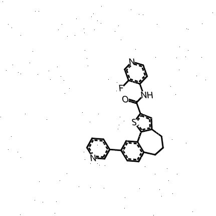 O=C(Nc1ccncc1F)c1cc2c(s1)-c1cc(-c3cccnc3)ccc1CCC2